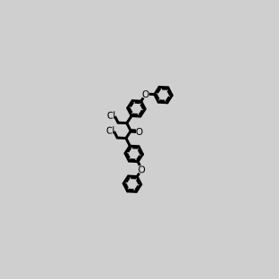 O=C(C(CCl)c1ccc(Oc2ccccc2)cc1)C(CCl)c1ccc(Oc2ccccc2)cc1